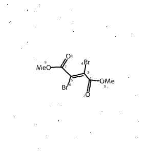 COC(=O)C(Br)=C(Br)C(=O)OC